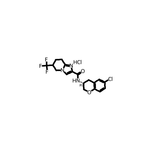 Cl.O=C(N[C@H]1COc2ccc(Cl)cc2C1)c1cn2c(n1)CCC(C(F)(F)F)C2